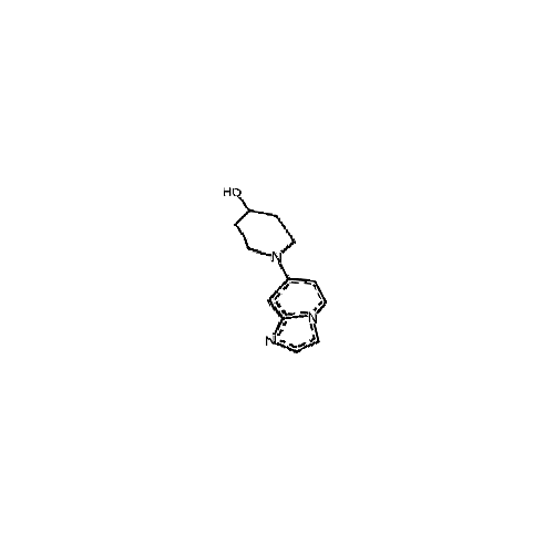 OC1CCN(c2ccn3ccnc3c2)CC1